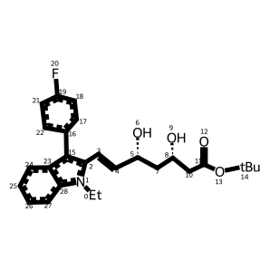 CCn1c(/C=C/[C@H](O)C[C@H](O)CC(=O)OC(C)(C)C)c(-c2ccc(F)cc2)c2ccccc21